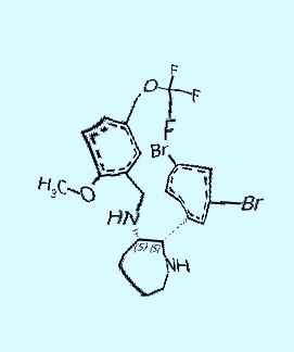 COc1ccc(OC(F)(F)F)cc1CN[C@H]1CCCN[C@H]1c1cc(Br)cc(Br)c1